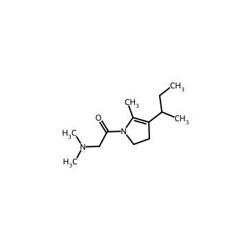 CCC(C)C1=C(C)N(C(=O)CN(C)C)CC1